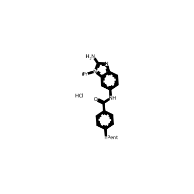 CCCCCc1ccc(C(=O)Nc2ccc3nc(N)n(C(C)C)c3c2)cc1.Cl